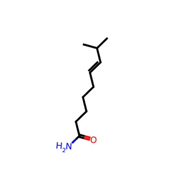 CC(C)C=CCCCCC(N)=O